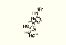 CC(C)CNc1ncnc2c1ncn2[C@@H]1O[C@H](CO)C(O)C1O